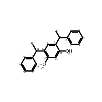 CC(c1ccccc1)c1cc(C(C)c2ccccc2)c(O)cc1O